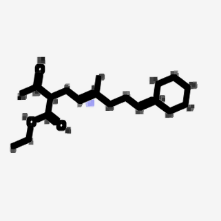 CCOC(=O)C(C/C=C(\C)CCC=C1CCCCC1)C(C)=O